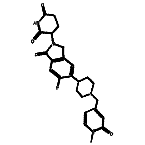 Cn1ccc(CN2CCC(c3cc4c(cc3F)C(=O)N(C3CCC(=O)NC3=O)C4)CC2)cc1=O